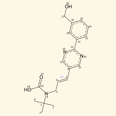 CC(C)(C)N(C/C=C/c1cnc(-c2cccc(CO)c2)nc1)C(=O)O